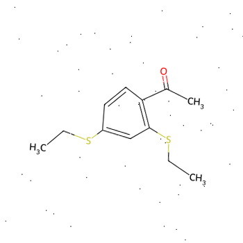 CCSc1ccc(C(C)=O)c(SCC)c1